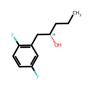 CCC[C@H](O)Cc1cc(F)ccc1F